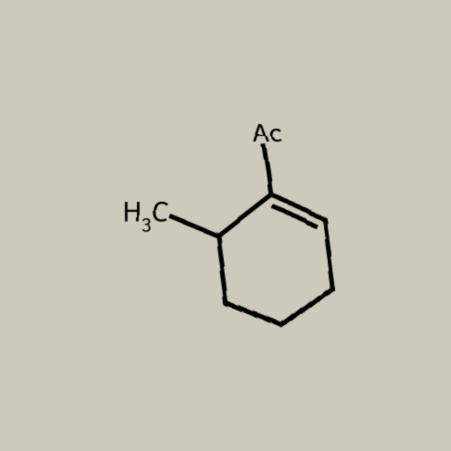 CC(=O)C1=CCCCC1C